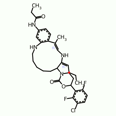 CCC/C=C1/N/C=C(\C)c2ccc(NC(=O)CC)cc2NCCCCCC1N1CCC(c2c(F)ccc(Cl)c2F)OC1=O